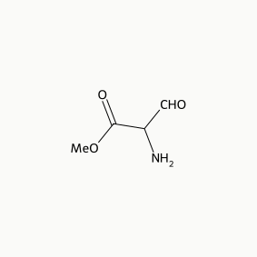 COC(=O)C(N)C=O